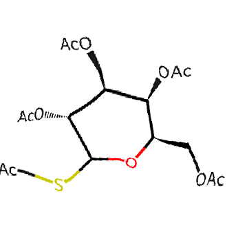 CC(=O)OC[C@H]1OC(SC(C)=O)[C@H](OC(C)=O)[C@@H](OC(C)=O)[C@H]1OC(C)=O